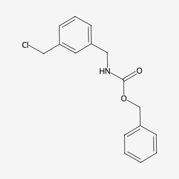 O=C(NCc1cccc(CCl)c1)OCc1ccccc1